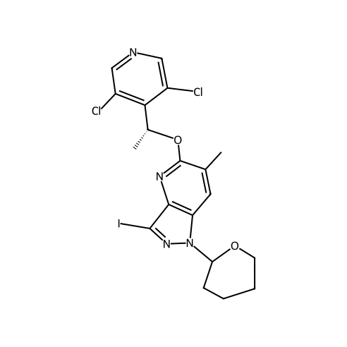 Cc1cc2c(nc1O[C@H](C)c1c(Cl)cncc1Cl)c(I)nn2C1CCCCO1